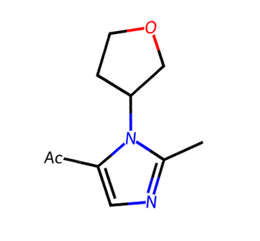 CC(=O)c1cnc(C)n1C1CCOC1